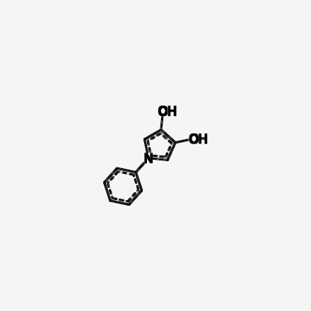 Oc1cn(-c2ccccc2)cc1O